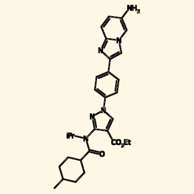 CCOC(=O)c1cn(-c2ccc(-c3cn4cc(N)ccc4n3)cc2)nc1N(C(=O)C1CCC(C)CC1)C(C)C